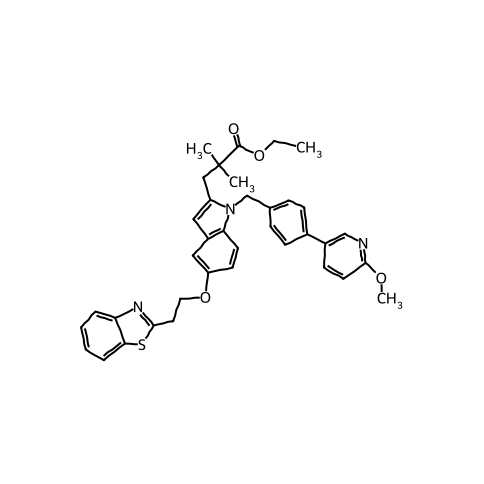 CCOC(=O)C(C)(C)Cc1cc2cc(OCCc3nc4ccccc4s3)ccc2n1Cc1ccc(-c2ccc(OC)nc2)cc1